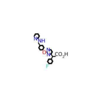 O=C(O)CC(c1ccc(F)cc1)c1ccnc(Oc2ccc(CNc3ccccn3)cc2)n1